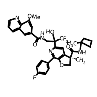 COc1cc(C(=O)NCC(O)(c2cc3c(c(-c4ccc(F)cc4)n2)OC[C@]3(C)C(=O)NC2(C)CCC2)C(F)(F)F)cc2cccnc12